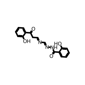 O=C(C/C=N/C=N/NC(=O)c1ccccc1O)c1ccccc1O